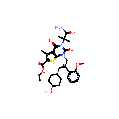 CCOC(=O)c1sc2c(c1C)c(=O)n(C(C)(C)C(N)=O)c(=O)n2C[C@H](C[C@H]1CC[C@@H](O)CC1)c1ccccc1OC